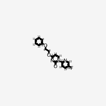 O=c1nc(OCCOc2ccccc2)ccn1-c1ccc(F)cn1